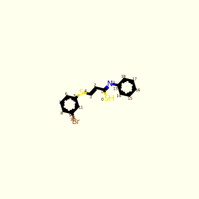 SC(C=CSc1cccc(Br)c1)=Nc1ccccc1